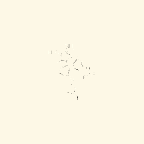 CN1C(=O)[C@](c2ccc(OC(F)F)cc2)(c2cccc(OCCC(F)F)c2)N=C1N